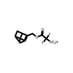 CC12C3=C(COC(=O)C(F)(F)S(=O)(=O)O)C1CC2C3